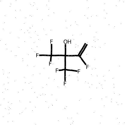 C=C(F)C(O)(C(F)(F)F)C(F)(F)F